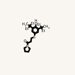 CCC(C)(CC)c1cc(SCCC(=O)N2CCCC2)cc(C(C)(CC)CC)c1O